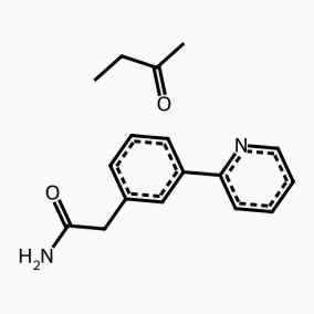 CCC(C)=O.NC(=O)Cc1cccc(-c2ccccn2)c1